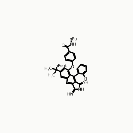 CCCCCC(C)(C)c1cc(Oc2ccc(C(=O)NCCCC)cc2)c2c(-c3ccccc3Cl)c3c(cc2c1)C(=N)NC3=N